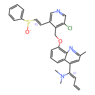 C=C/C=C(/c1cc(C)nc2c(OCc3c(Cl)cncc3/C=C/[S+]([O-])c3ccccc3)cccc12)N(C)C